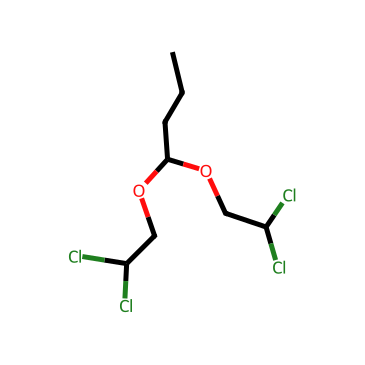 CCCC(OCC(Cl)Cl)OCC(Cl)Cl